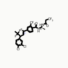 C[C@H](NC(=O)CC(F)(F)F)NC(=O)c1ccc(/C(F)=C/C(c2ccc(Cl)c(Cl)c2)C(C)(F)F)cc1C(F)(F)F